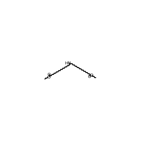 CCCCOC(=O)CCCCCCCCCCCCCCCCCC1=C(CCCCCCCCCCCCCCCCCC(=O)OCCCC)N1